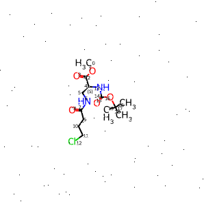 COC(=O)[C@H](CNC(=O)CCCCl)NC(=O)OC(C)(C)C